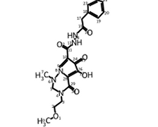 COCCN1CN(C)n2cc(C(=O)NNC(=O)Cc3ccccc3)c(=O)c(O)c2C1=O